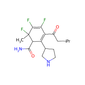 CC(C)CC(=O)C1=C(C2CCNC2)C(C(N)=O)C(C)(F)C(F)=C1F